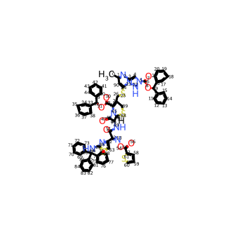 CC1=NC2=CN(C(=O)OC(c3ccccc3)c3ccccc3)NN2C(SCC2=C(C(=O)OC(c3ccccc3)c3ccccc3)N3C(=O)[C@@H](NC(=O)C(=NOC(=O)c4cccs4)c4csc(NC(c5ccccc5)(c5ccccc5)c5ccccc5)n4)[C@H]3SC2)=C1